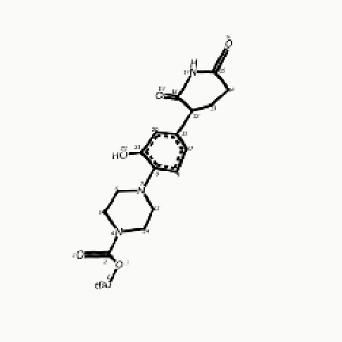 CC(C)(C)OC(=O)N1CCN(c2ccc(C3CCC(=O)NC3=O)cc2O)CC1